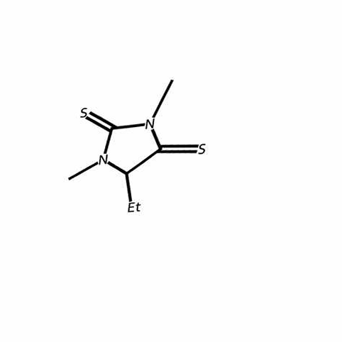 CCC1C(=S)N(C)C(=S)N1C